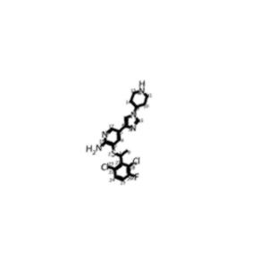 CC(Sc1cc(-c2cn(C3CCNCC3)cn2)cnc1N)c1c(Cl)ccc(F)c1Cl